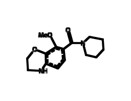 COc1c(C(=O)N2CCCCC2)ccc2c1OCCN2